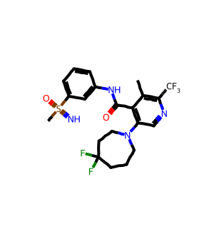 Cc1c(C(F)(F)F)ncc(N2CCCC(F)(F)CC2)c1C(=O)Nc1cccc(S(C)(=N)=O)c1